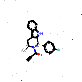 C#CC(=O)N1[C@@H](c2ccc(F)cc2)c2[nH]c3ccccc3c2C[C@@H]1C(F)(F)F